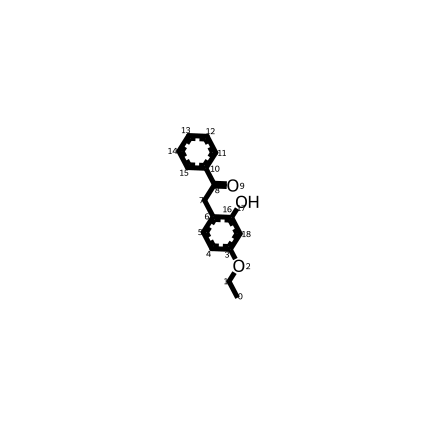 CCOc1ccc(CC(=O)c2ccccc2)c(O)c1